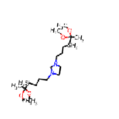 COC(C)(OC)[SiH2]CCCN1CCN(CCC[SiH2]C(C)(OC)OC)C1